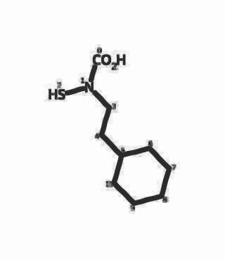 O=C(O)N(S)CCC1CCCCC1